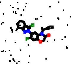 C#CCN1C(=O)COc2cc(F)c(-n3nc4c(c3Cl)CCCC4)cc21